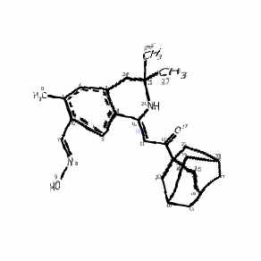 Cc1cc2c(cc1C=NO)/C(=C/C(=O)C13CC4CC(CC(C4)C1)C3)NC(C)(C)C2